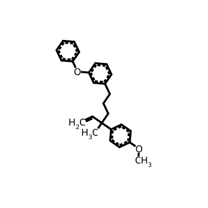 C=CC(C)(CCCc1cccc(Oc2ccccc2)c1)c1ccc(OC)cc1